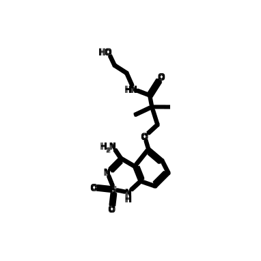 CC(C)(COc1cccc2c1C(N)=NS(=O)(=O)N2)C(=O)NCCO